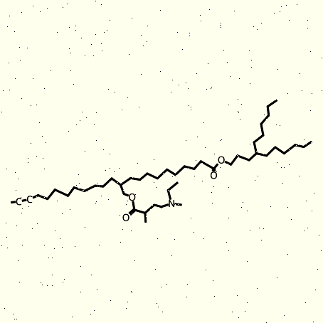 CCCCCCCCCCCCC(CCCCCCCCCC(=O)OCCCC(CCCCCC)CCCCCC)COC(=O)C(C)CCN(C)CC